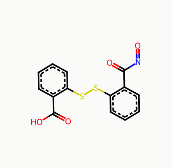 O=NC(=O)c1ccccc1SSc1ccccc1C(=O)O